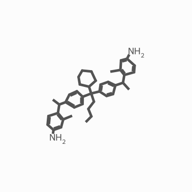 CCCCC(c1ccc(C(C)c2ccc(N)cc2C)cc1)(c1ccc(C(C)c2ccc(N)cc2C)cc1)C1CCCCC1